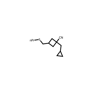 CCCSCC1CC(C#N)(CC2CC2)C1